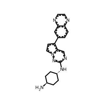 N[C@H]1CC[C@H](Nc2ncc3c(-c4ccc5nccnc5c4)ccn3n2)CC1